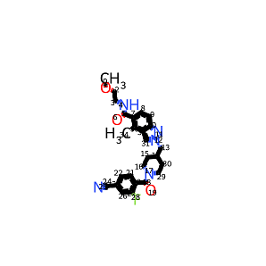 COCCNC(=O)c1ccc2nn(CC3CCN(C(=O)c4ccc(C#N)cc4F)CC3)cc2c1C